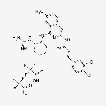 Cc1ccc2nc(NC(=O)/C=C/c3ccc(Cl)c(Cl)c3)nc(NC3CCCCC3NC(=N)N)c2c1.O=C(O)C(F)(F)F.O=C(O)C(F)(F)F